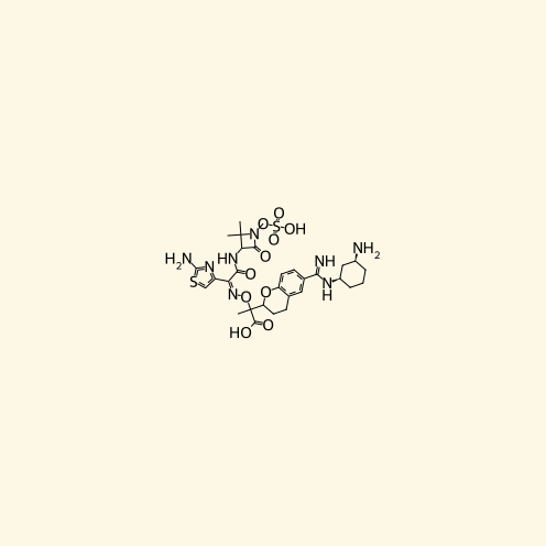 CC(ON=C(C(=O)NC1C(=O)N(OS(=O)(=O)O)C1(C)C)c1csc(N)n1)(C(=O)O)C1CCc2cc(C(=N)N[C@@H]3CCC[C@H](N)C3)ccc2O1